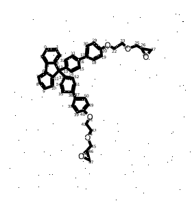 c1ccc2c(c1)-c1ccccc1C2(c1ccc(-c2ccc(OCCOCC3CO3)cc2)cc1)c1ccc(-c2ccc(OCCOCC3CO3)cc2)cc1